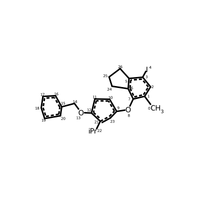 Cc1cc(I)c2c(c1Oc1ccc(OCc3ccccc3)c(C(C)C)c1)CCC2